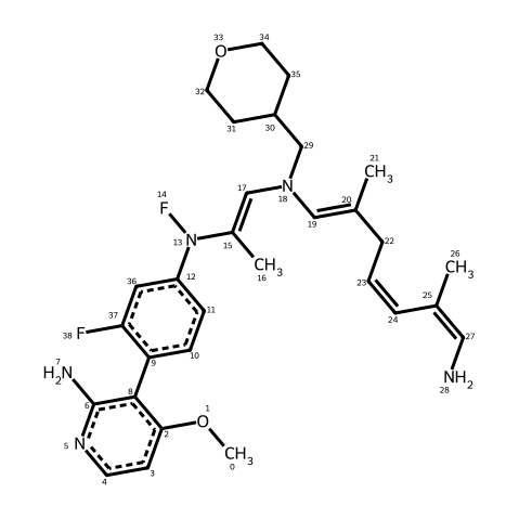 COc1ccnc(N)c1-c1ccc(N(F)/C(C)=C/N(/C=C(\C)C/C=C\C(C)=C/N)CC2CCOCC2)cc1F